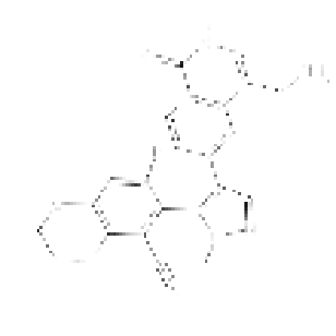 Cn1ncc(-c2ccc3c(=O)[nH]nc(CN)c3c2)c1-c1c(F)cc2c(c1C#N)OCCO2